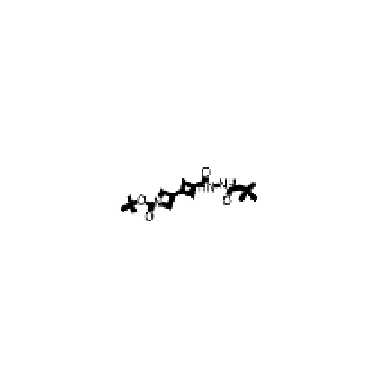 CC(C)(C)CC(=O)NNC(=O)C12CC(C3CN(C(=O)OC(C)(C)C)C3)(C1)C2